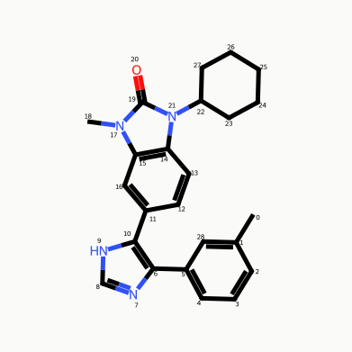 Cc1cccc(-c2nc[nH]c2-c2ccc3c(c2)n(C)c(=O)n3C2CCCCC2)c1